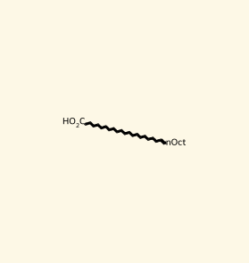 CCCCCCCCC=CCCCCCCCCCCCCCCCCCCCC(=O)O